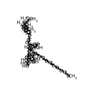 COCCOCCOCCOCCOCCOCCOCCOCCOCCOCCOC(=O)N(CCCNC(=O)C(C1C[C@@H](O)[C@@H](O)[C@@H](CO)O1)[C@@H](O)[C@H](O)[C@H](O)CO)CCCN(C[C@H](C)[C@H]1OC(=O)C(O)=C1O)C(=O)COCCOC1CC[C@@]2(C)C(=CC[C@@H]3C2CCC2(C)C([C@H](C)CCCC(C)C)CC[C@@H]32)C1